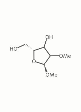 COC1C(O)[C@@H](CO)O[C@@H]1OC